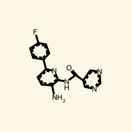 Nc1ccc(-c2ccc(F)cc2)nc1NC(=O)c1cncnc1